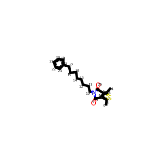 Cc1sc(C)c2c1C(=O)N(CCCCCCCCc1ccccc1)C2=O